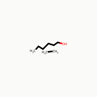 CC.CCCCCCO